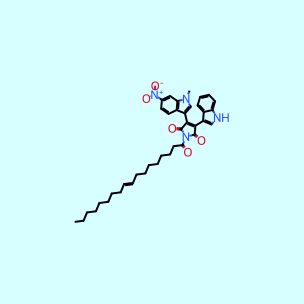 CCCCCCCC/C=C/CCCCCCCC(=O)N1C(=O)C(c2c[nH]c3ccccc23)=C(c2cn(C)c3cc([N+](=O)[O-])ccc23)C1=O